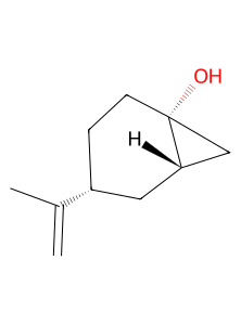 C=C(C)[C@@H]1CC[C@@]2(O)C[C@@H]2C1